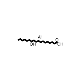 CCCCCCC(O)CCCCCCCCCCC(=O)O.[Al]